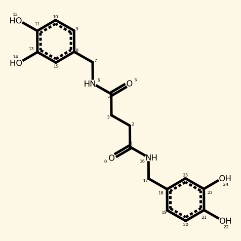 O=C(CCC(=O)NCc1ccc(O)c(O)c1)NCc1ccc(O)c(O)c1